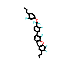 CCCc1ccc(OC(F)(F)c2ccc(-c3ccc4c(c3F)Oc3c(cc(CCC)c(F)c3F)C4)cc2F)cc1F